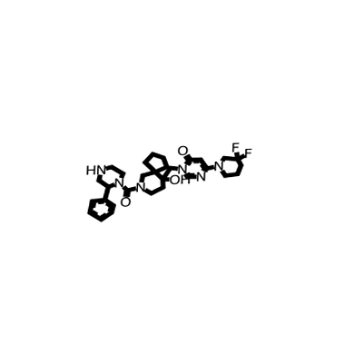 O=C(N1CCC(O)(Cn2cnc(N3CCCC(F)(F)C3)cc2=O)C2(CCCC2)C1)N1CCNCC1c1ccccc1